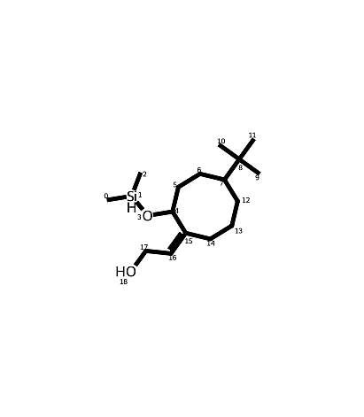 C[SiH](C)OC1CCC(C(C)(C)C)CCCC1=CCO